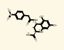 O=C(Cc1ccc([N+](=O)[O-])cc1)N[C@H]1C[C@H](C(=O)O)Nc2cc(Cl)cc(Cl)c21